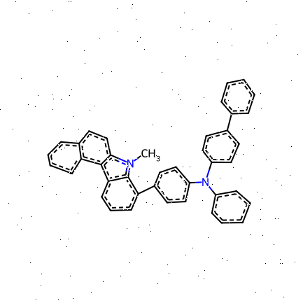 Cn1c2ccc3ccccc3c2c2cccc(-c3ccc(N(c4ccccc4)c4ccc(-c5ccccc5)cc4)cc3)c21